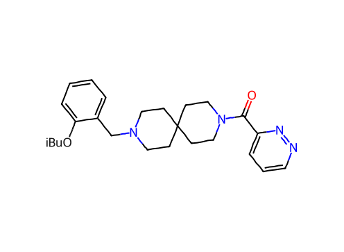 CC(C)COc1ccccc1CN1CCC2(CC1)CCN(C(=O)c1cccnn1)CC2